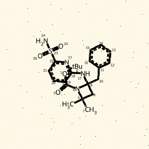 CC(C)(C)OC(=O)N1C(C)(C)CC1(Cc1ccccc1)Nc1cccc(S(N)(=O)=O)n1